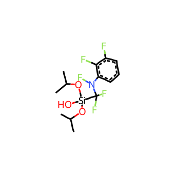 CC(C)O[Si](O)(OC(C)C)C(F)(F)N(F)c1cccc(F)c1F